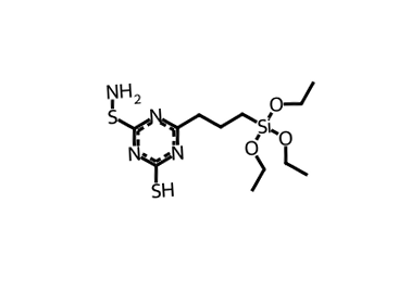 CCO[Si](CCCc1nc(S)nc(SN)n1)(OCC)OCC